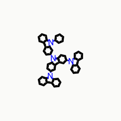 c1ccc(-n2c3ccccc3c3ccc(-n4c5ccc(-n6c7ccccc7c7ccccc76)cc5c5cc(-n6c7ccccc7c7ccccc76)ccc54)cc32)cc1